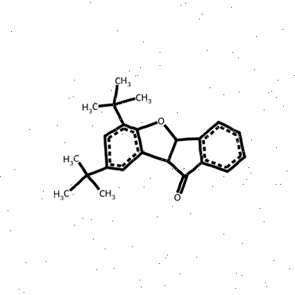 CC(C)(C)c1cc2c(c(C(C)(C)C)c1)O[C]1[C]2C(=O)c2ccccc21